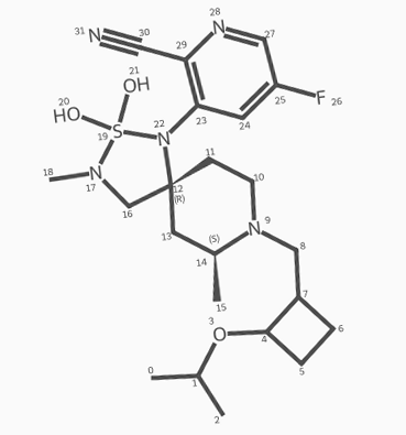 CC(C)OC1CCC1CN1CC[C@@]2(C[C@@H]1C)CN(C)S(O)(O)N2c1cc(F)cnc1C#N